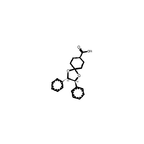 O=C(O)C1CCC2(CC1)O[C@@H](c1ccccc1)[C@H](c1ccccc1)O2